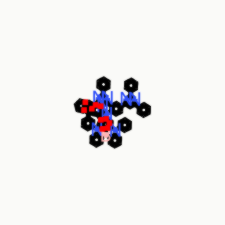 c1ccc(-c2ccc3c(c2)c2ccccc2n3-c2ccc(-c3cc(-c4ccccc4)nc(-c4ccccc4)n3)cc2-c2nc(-c3ccccc3)nc(-c3cccc(-c4cccc(N5c6ccccc6B6c7ccccc7N(c7ccccc7)c7cccc5c76)c4)c3)n2)cc1